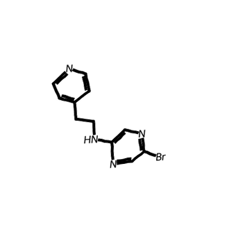 Brc1cnc(NCCc2ccncc2)cn1